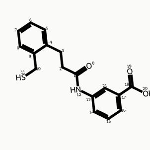 O=C(CCc1ccccc1CS)Nc1cccc(C(=O)O)c1